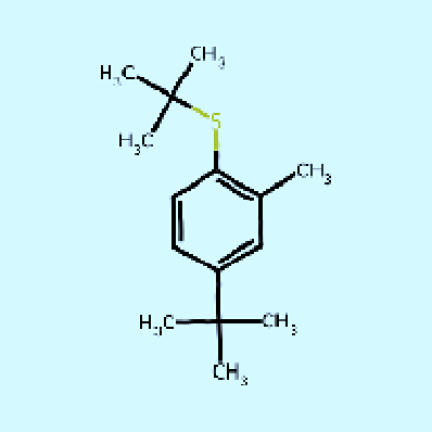 Cc1cc(C(C)(C)C)ccc1SC(C)(C)C